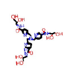 O=C(NC[C@H](O)CO)c1ccc(CN(Cc2ccc(C(=O)NC[C@@H](O)CO)cn2)Cc2ccc(C(=O)NC[C@@H](O)CO)cn2)nc1